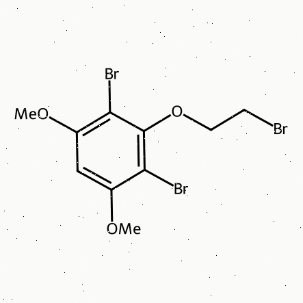 COc1cc(OC)c(Br)c(OCCBr)c1Br